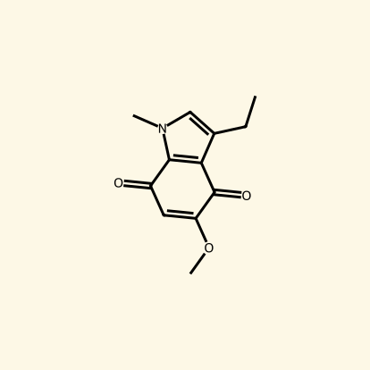 CCc1cn(C)c2c1C(=O)C(OC)=CC2=O